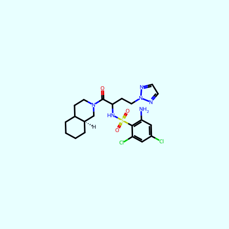 Nc1cc(Cl)cc(Cl)c1S(=O)(=O)NC(CCn1nccn1)C(=O)N1CCC2CCCC[C@@H]2C1